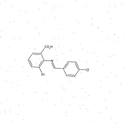 CCc1cccc(C(=O)O)c1N=Cc1ccc(Cl)cc1